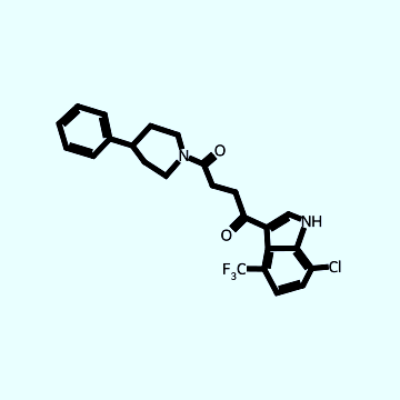 O=C(CCC(=O)N1CCC(c2ccccc2)CC1)c1c[nH]c2c(Cl)ccc(C(F)(F)F)c12